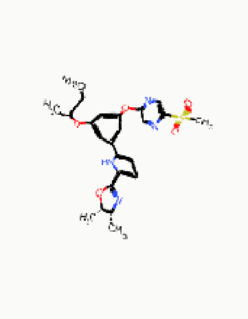 COC[C@H](C)Oc1cc(Oc2cnc(S(C)(=O)=O)cn2)cc(-c2ccc(C3=N[C@H](C)[C@H](C)O3)[nH]2)c1